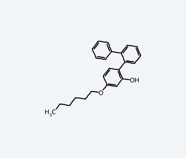 CCCCCCOc1ccc(-c2ccccc2-c2ccccc2)c(O)c1